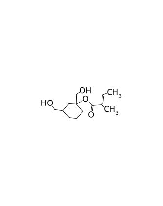 CC=C(C)C(=O)OC1(CO)CCCC(CO)C1